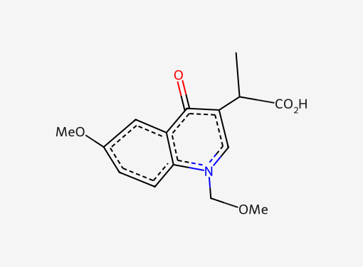 COCn1cc(C(C)C(=O)O)c(=O)c2cc(OC)ccc21